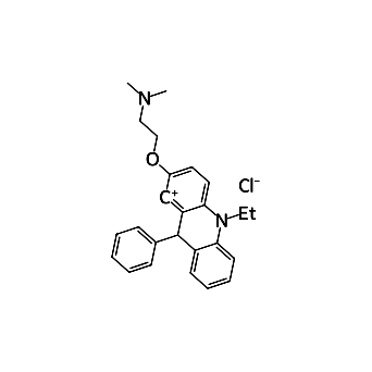 CCN1C2=CC=C(OCCN(C)C)[C+]=C2C(c2ccccc2)c2ccccc21.[Cl-]